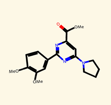 COC(=O)c1cc(N2CCCC2)nc(-c2ccc(OC)c(OC)c2)n1